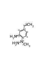 C=Cc1ccc(N(C)N)c(N)c1